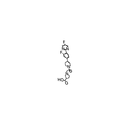 O=C(O)C1CCN(CC(=O)N2CC=C(c3ccc(-c4ncc(F)cn4)c(F)c3)CC2)C1